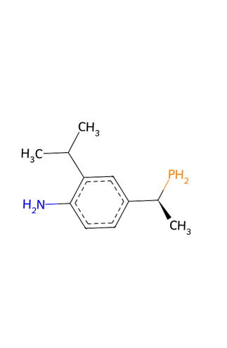 CC(C)c1cc([C@H](C)P)ccc1N